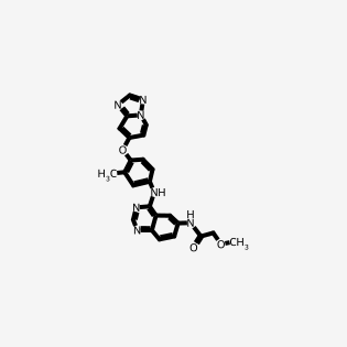 COCC(=O)Nc1ccc2ncnc(Nc3ccc(Oc4ccn5ncnc5c4)c(C)c3)c2c1